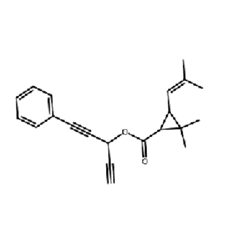 C#CC(C#Cc1ccccc1)OC(=O)C1C(C=C(C)C)C1(C)C